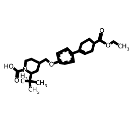 CCOC(=O)C1CC=C(c2ccc(OCC3CCN(C(=O)O)C(C(C)(C)C)C3)cc2)CC1